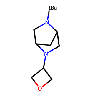 CC(C)(C)N1CC2CC1CN2C1COC1